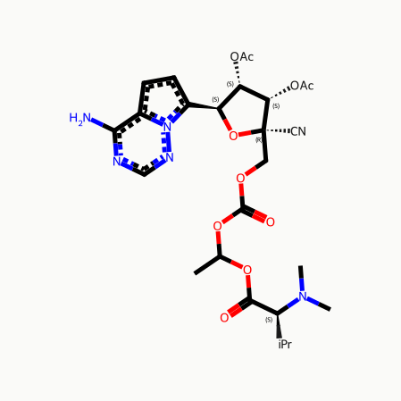 CC(=O)O[C@H]1[C@H](c2ccc3c(N)ncnn23)O[C@](C#N)(COC(=O)OC(C)OC(=O)[C@H](C(C)C)N(C)C)[C@H]1OC(C)=O